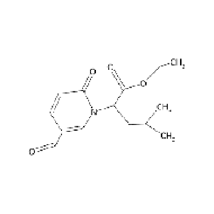 CCOC(=O)C(CC(C)C)n1cc(C=O)ccc1=O